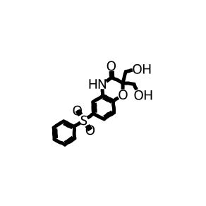 O=C1Nc2cc(S(=O)(=O)c3ccccc3)ccc2OC1(CO)CO